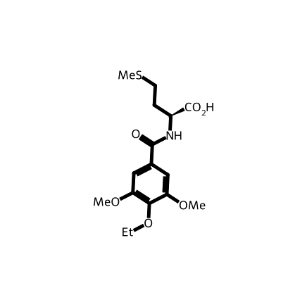 CCOc1c(OC)cc(C(=O)N[C@@H](CCSC)C(=O)O)cc1OC